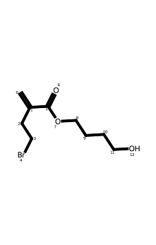 C=C(CCBr)C(=O)OCCCCO